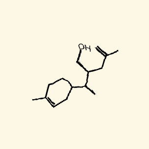 C=C(C)CC(CO)C(C)C1CC=C(C)CC1